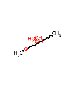 CC=COCCCCCCCCCCCCCCCC.O=P(O)(O)O